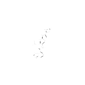 CC(C)Oc1nc2nc(C34COC(C)(C3)C4)cn2cc1NC(=O)c1cccc2ncnn12